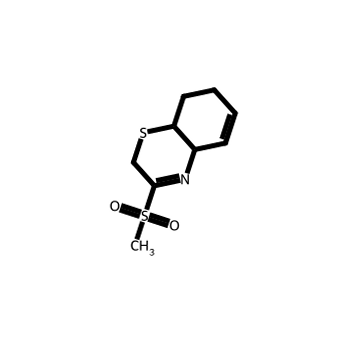 CS(=O)(=O)C1=NC2C=CCCC2SC1